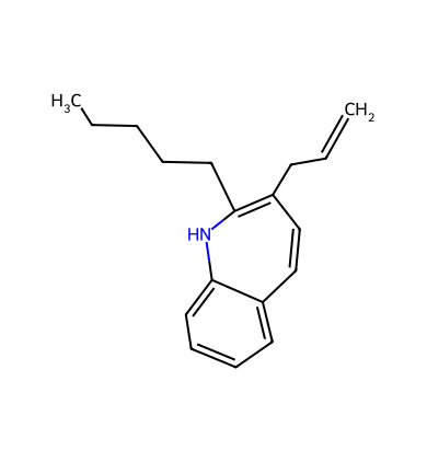 C=CCC1=C(CCCCC)Nc2ccccc2C=C1